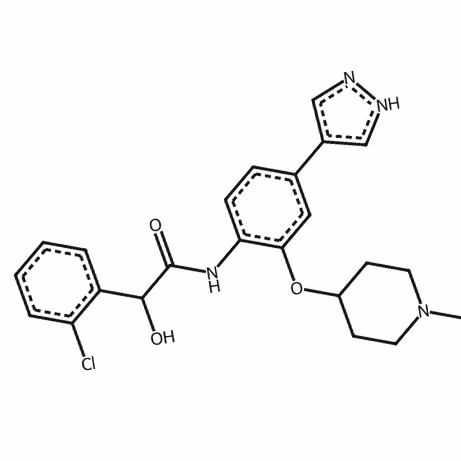 CN1CCC(Oc2cc(-c3cn[nH]c3)ccc2NC(=O)C(O)c2ccccc2Cl)CC1